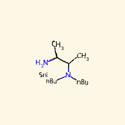 CCCCN(CCCC)C(C)C(C)N.[Sn]